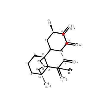 C=C1C(=O)[C@@]23CC[C@@H](CC2[C@@]24CCC[C@@](C)(CN(CCC)C2)C14)C(=C)C3=O